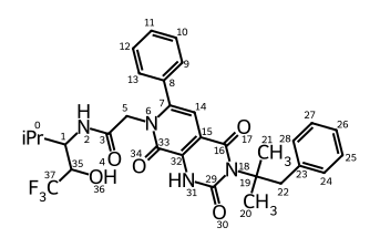 CC(C)C(NC(=O)Cn1c(-c2ccccc2)cc2c(=O)n(C(C)(C)Cc3ccccc3)c(=O)[nH]c2c1=O)C(O)C(F)(F)F